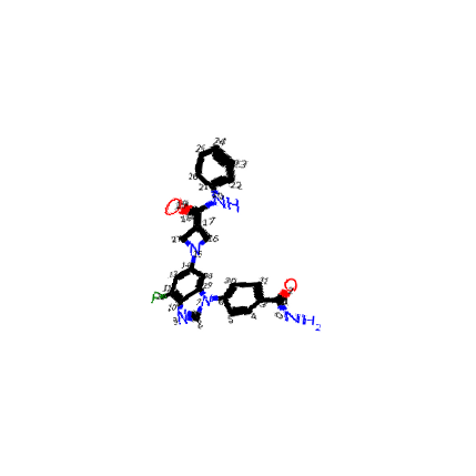 NC(=O)c1ccc(-n2cnc3c(F)cc(N4CC(C(=O)Nc5ccccc5)C4)cc32)cc1